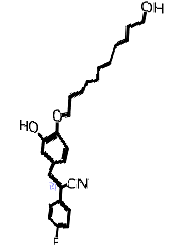 N#C/C(=C\c1ccc(OCCCCCCCCCCCO)c(O)c1)c1ccc(F)cc1